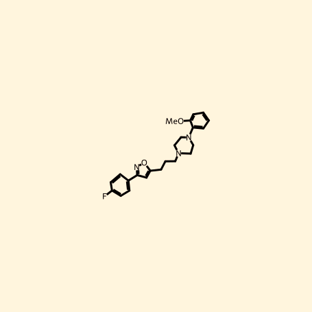 COc1ccccc1N1CCN(CCCc2cc(-c3ccc(F)cc3)no2)CC1